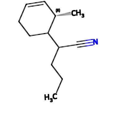 CCCC(C#N)C1CCC=C[C@@H]1C